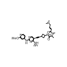 CCCNc1nc(Nc2ccnc(OC)c2)ncc1C#CC1CC(NC(=O)C(C)N(C)C(=O)C=CCN(C)C)C1